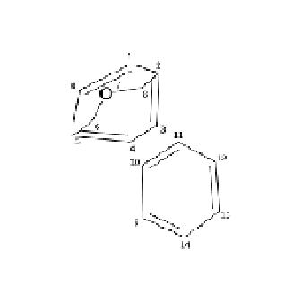 c1cc2ccc1COC2.c1ccccc1